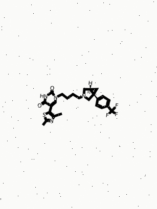 Cc1nc(C)c(-c2cn(CCCCN3C[C@@H]4C[C@]4(c4ccc(C(F)(F)F)cc4)C3)c(=O)[nH]c2=O)s1